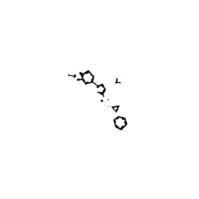 Cc1nc2cc(-c3ccc(S(=O)(=O)N[C@H]4[C@H](C)[C@@H]4c4ccccc4)s3)ccc2s1.O=C(O)O